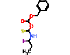 CCC(I)NC(=S)OC(=O)OCc1ccccc1